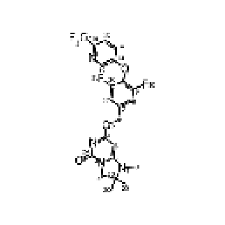 CN1c2cc(OCc3cc(F)c(Oc4ccc(C(F)(F)F)nc4)c(F)c3)nc(=O)n2CC1(C)C